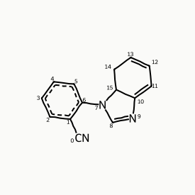 N#Cc1ccccc1N1C=NC2=CC=CCC21